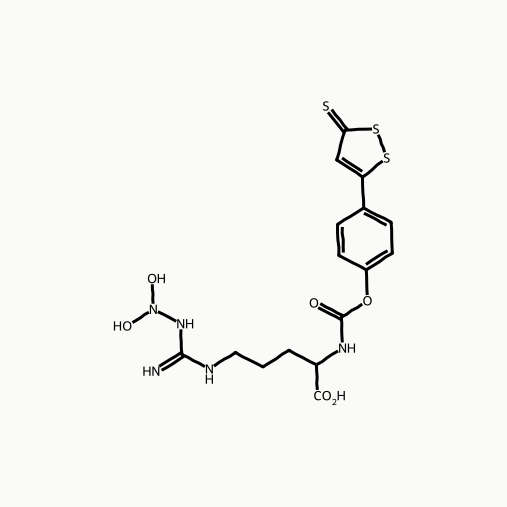 N=C(NCCCC(NC(=O)Oc1ccc(-c2cc(=S)ss2)cc1)C(=O)O)NN(O)O